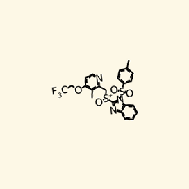 Cc1ccc(S(=O)(=O)n2c([S+]([O-])Cc3nccc(OCC(F)(F)F)c3C)nc3ccccc32)cc1